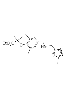 CCOC(=O)C(C)(C)Oc1c(C)cc(CNCc2nnc(C)o2)cc1C